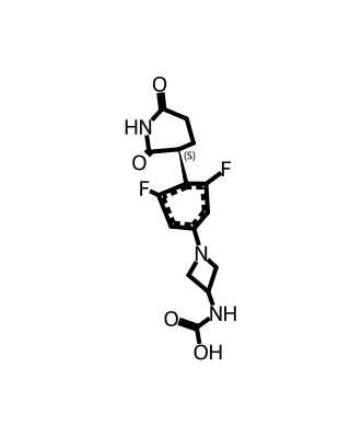 O=C(O)NC1CN(c2cc(F)c([C@@H]3CCC(=O)NC3=O)c(F)c2)C1